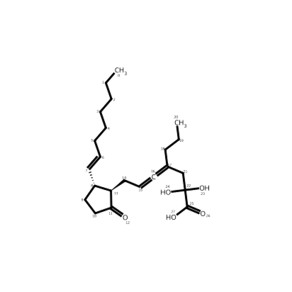 CCCCCCC=C[C@H]1CCC(=O)[C@@H]1CC=C=C(CCC)CC(O)(O)C(=O)O